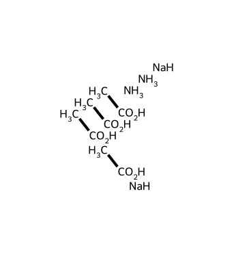 CC(=O)O.CC(=O)O.CC(=O)O.CC(=O)O.N.N.[NaH].[NaH]